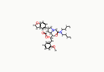 CCCCN(CCCC)C(=O)CN1C[C@H](c2ccc3c(c2)CCO3)[C@@H](C(=O)O)[C@@H]1CCCc1ccccc1OC